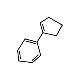 [C]1=C(c2ccccc2)CCC1